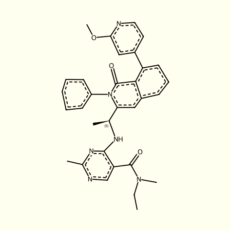 CCN(C)C(=O)c1cnc(C)nc1N[C@@H](C)c1cc2cccc(-c3ccnc(OC)c3)c2c(=O)n1-c1ccccc1